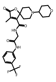 CC1=C(C(=O)NCC(=O)Nc2cccc(C(F)(F)F)c2)C2(CCN(C3CCOCC3)CC2)OC1=O